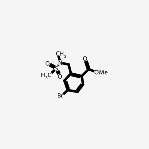 COC(=O)c1ccc(Br)cc1CN(C)S(C)(=O)=O